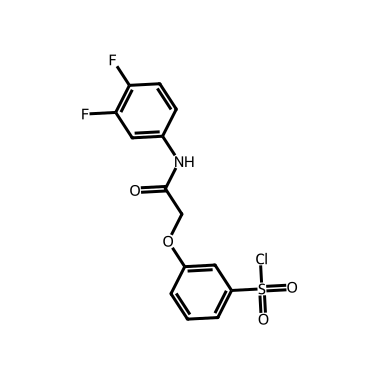 O=C(COc1cccc(S(=O)(=O)Cl)c1)Nc1ccc(F)c(F)c1